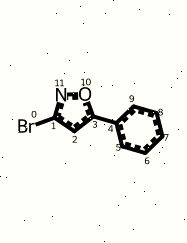 Brc1cc(-c2ccccc2)on1